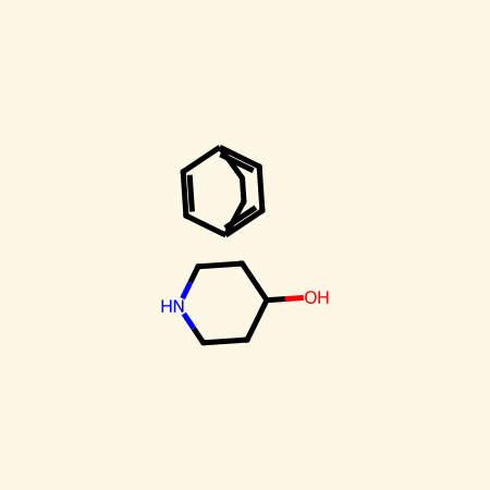 OC1CCNCC1.c1cc2ccc1CC2